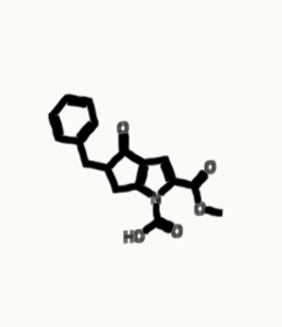 COC(=O)c1cc2c(n1C(=O)O)CC(Cc1ccccc1)C2=O